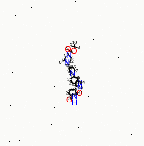 C[C@H]1CN(C(=O)OC(C)(C)C)CCN1C[C@@H]1CCN(c2ccc3c(C4CCC(=O)NC4=O)nn(C)c3c2)C1